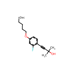 CCCCCCCCCCCCCCOc1ccc(C#CC(C)(C)O)c(F)c1